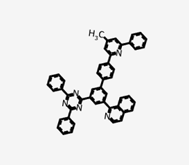 Cc1cc(-c2ccccc2)nc(-c2ccc(-c3cc(-c4nc(-c5ccccc5)nc(-c5ccccc5)n4)cc(-c4nccc5ccccc45)c3)cc2)c1